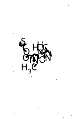 CCn1nc(C(=O)OCc2ccsc2)cc(Nc2cnccc2C)c1=O